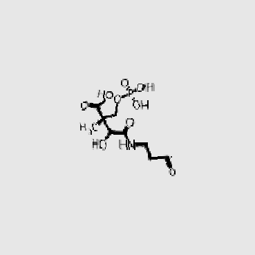 CC(COP(=O)(O)O)(C(=O)O)C(O)C(=O)NCC[C]=O